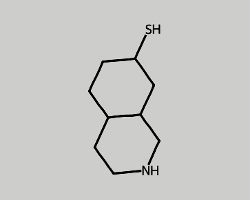 SC1CCC2CCNCC2C1